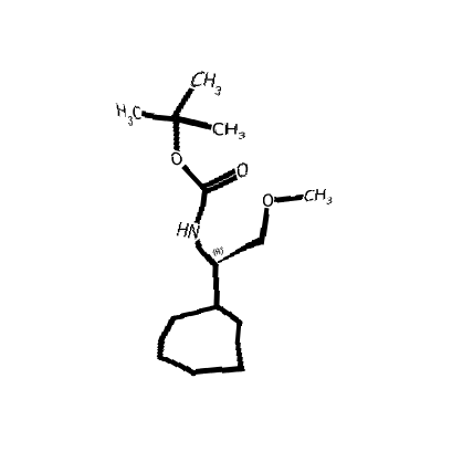 COC[C@H](NC(=O)OC(C)(C)C)C1CCCCC1